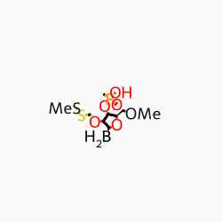 B[C@@H]1O[C@H](COC)C(OP(C)(=O)O)C1OCSSC